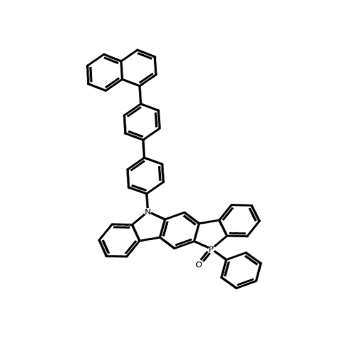 O=P1(c2ccccc2)c2ccccc2-c2cc3c(cc21)c1ccccc1n3-c1ccc(-c2ccc(-c3cccc4ccccc34)cc2)cc1